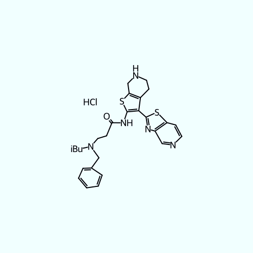 CCC(C)N(CCC(=O)Nc1sc2c(c1-c1nc3cnccc3s1)CCNC2)Cc1ccccc1.Cl